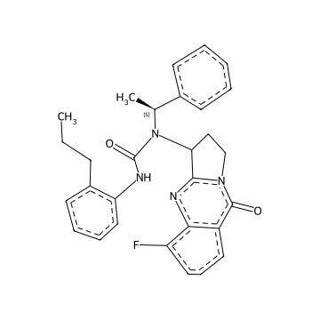 CCCc1ccccc1NC(=O)N(C1CCn2c1nc1c(F)cccc1c2=O)[C@@H](C)c1ccccc1